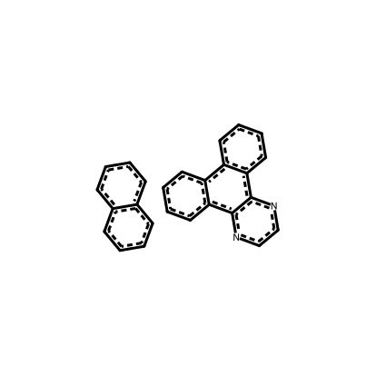 c1ccc2c(c1)c1ccccc1c1nccnc21.c1ccc2ccccc2c1